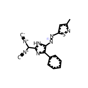 [C-]#[N+]C([N+]#[C-])c1nc(-c2ccccc2)c(/N=N/c2cc(C)ns2)[nH]1